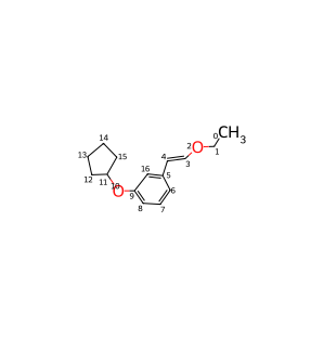 CCOC=Cc1cccc(OC2CCCC2)c1